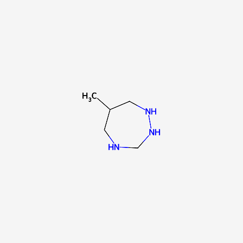 CC1CNCNNC1